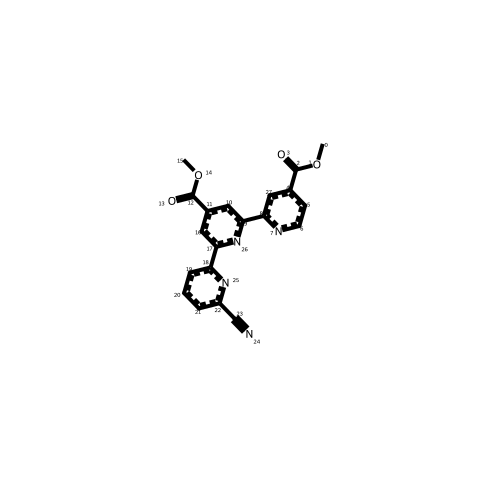 COC(=O)c1ccnc(-c2cc(C(=O)OC)cc(-c3cccc(C#N)n3)n2)c1